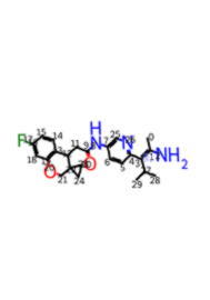 C/C(N)=C(\c1ccc(NC(=O)CC2c3ccc(F)cc3OCC23CC3)cn1)C(C)C